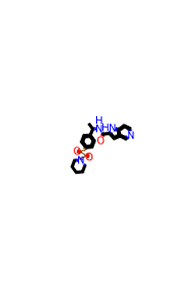 CC(NC(=O)c1cc2cnccc2[nH]1)c1ccc(S(=O)(=O)N2CCCCC2)cc1